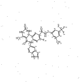 CC1=C(C(=O)Nc2ccc3[nH]ncc3c2)C(c2ccc(F)c(C(=O)NCc3cc(C)cc(C(F)(F)F)c3)c2)NC(=O)N1